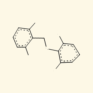 Cc1cccc(C)c1NCc1c(O)cccc1Cl